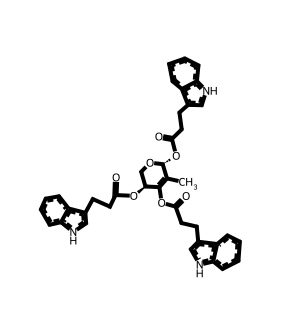 CC1=C(OC(=O)CCc2c[nH]c3ccccc23)[C@@H](OC(=O)CCc2c[nH]c3ccccc23)CO[C@@H]1OC(=O)CCc1c[nH]c2ccccc12